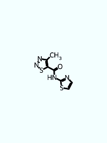 Cc1nnsc1C(=O)Nc1nccs1